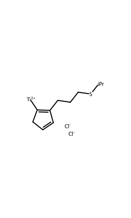 CC(C)SCCCC1=[C]([Ti+2])CC=C1.[Cl-].[Cl-]